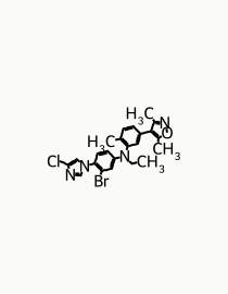 CCN(c1ccc(-n2cnc(Cl)c2)c(Br)c1)c1cc(-c2c(C)noc2C)ccc1C